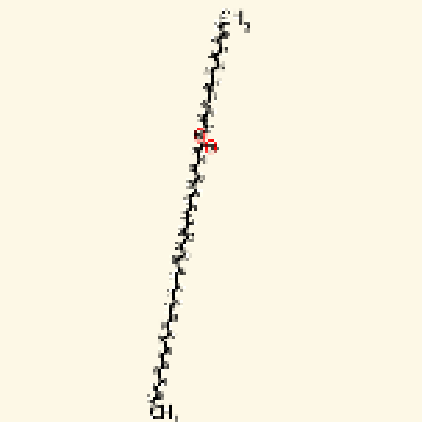 CCCCCCCCCCCCCCCCCCCCCCCCCCCCCCCCCCC(=O)OCCCCCCCCCCCCCCC